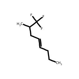 CCCC=CCC(C)C(F)(F)F